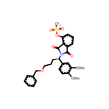 COc1ccc([C@@H](CCCOCc2ccccc2)N2C(=O)c3cccc(OS(=O)(=O)C(F)(F)F)c3C2=O)cc1OC